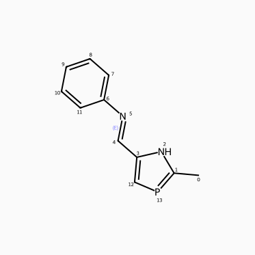 Cc1[nH]c(/C=N/c2ccccc2)cp1